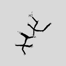 CCC(C)(CO)NC(=O)C(C)(C)C